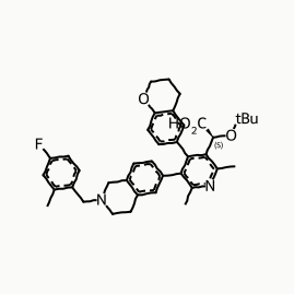 Cc1cc(F)ccc1CN1CCc2cc(-c3c(C)nc(C)c([C@H](OC(C)(C)C)C(=O)O)c3-c3ccc4c(c3)CCCO4)ccc2C1